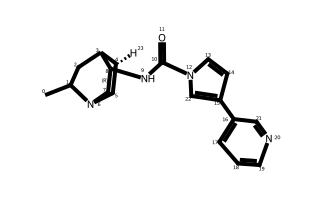 CC1CC2CCN1C[C@@H]2NC(=O)n1ccc(-c2cccnc2)c1